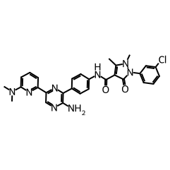 Cc1c(C(=O)Nc2ccc(-c3nc(-c4cccc(N(C)C)n4)cnc3N)cc2)c(=O)n(-c2cccc(Cl)c2)n1C